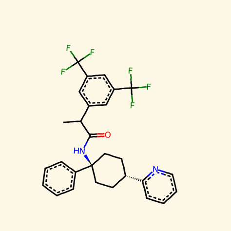 CC(C(=O)N[C@]1(c2ccccc2)CC[C@@H](c2ccccn2)CC1)c1cc(C(F)(F)F)cc(C(F)(F)F)c1